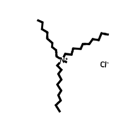 CCCCCCCCCC[N+](C)(CCCCCCCCC)CCCCCCCCCC.[Cl-]